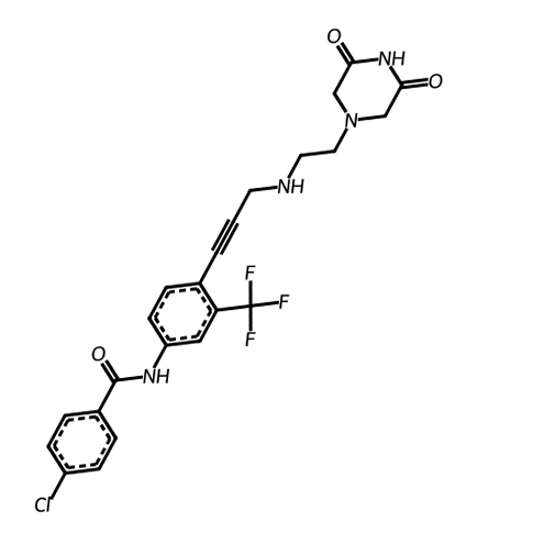 O=C1CN(CCNCC#Cc2ccc(NC(=O)c3ccc(Cl)cc3)cc2C(F)(F)F)CC(=O)N1